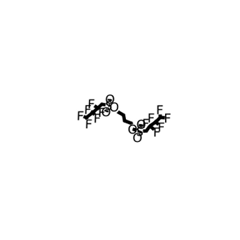 O=S(=O)(CC(F)(F)C(F)(F)C(F)F)OCCCCOS(=O)(=O)CC(F)(F)C(F)(F)C(F)F